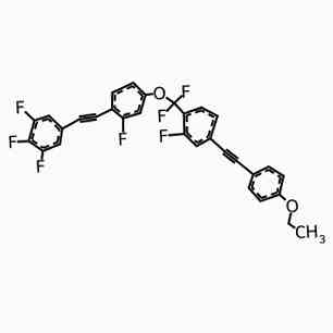 CCOc1ccc(C#Cc2ccc(C(F)(F)Oc3ccc(C#Cc4cc(F)c(F)c(F)c4)c(F)c3)c(F)c2)cc1